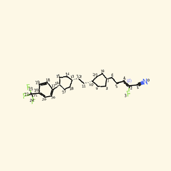 N#C/C(F)=C/CC[C@H]1CC[C@H](CC[C@H]2CC[C@H](c3ccc(C(F)(F)F)cc3)CC2)CC1